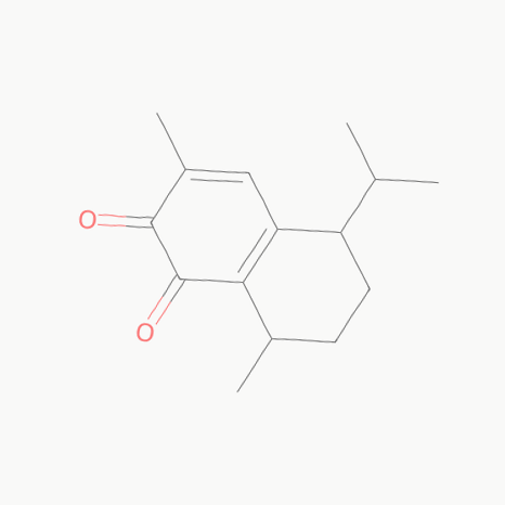 CC1=CC2=C(C(=O)C1=O)C(C)CCC2C(C)C